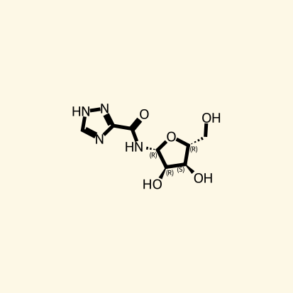 O=C(N[C@@H]1O[C@H](CO)[C@@H](O)[C@H]1O)c1nc[nH]n1